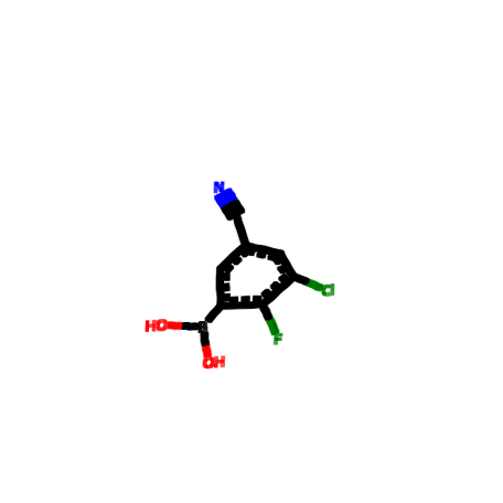 N#Cc1cc(Cl)c(F)c(B(O)O)c1